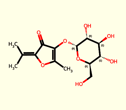 CC(C)=C1OC(C)=C(O[C@H]2O[C@H](CO)[C@@H](O)[C@H](O)[C@H]2O)C1=O